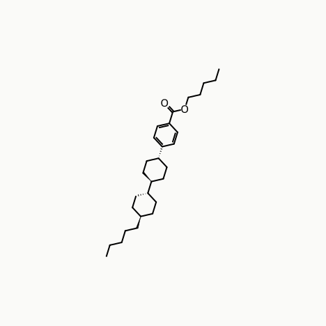 CCCCCOC(=O)c1ccc([C@H]2CC[C@H]([C@H]3CC[C@H](CCCCC)CC3)CC2)cc1